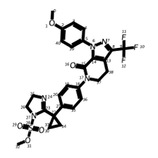 COc1ccc(-n2nc(C(F)(F)F)c3c2C(=O)N(c2ccc(C4(C5=NCCN5S(=O)(=O)OC)CC4)cc2)CC3)cc1